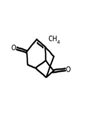 C.O=C1C=C2CC3C(=O)C2C3C1